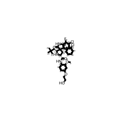 COc1cc(OCCO)ccc1NC(=O)[C@@H]1N[C@@H](CC(C)(C)C)C2(C(=O)Nc3c2ccc(Cl)c3F)[C@@H]1c1cccc(Cl)c1F